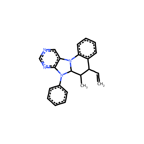 C=CC1c2ccccc2N2c3cncnc3N(c3ccccc3)C2C1C